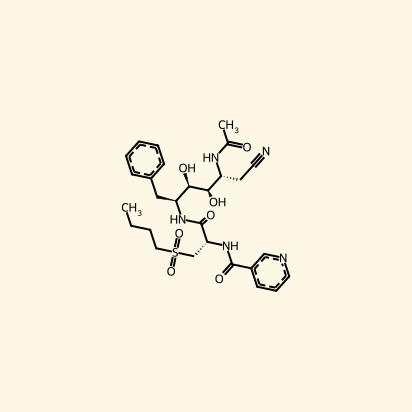 CCCCS(=O)(=O)C[C@@H](NC(=O)c1cccnc1)C(=O)N[C@@H](Cc1ccccc1)[C@@H](O)[C@H](O)[C@@H](CC#N)NC(C)=O